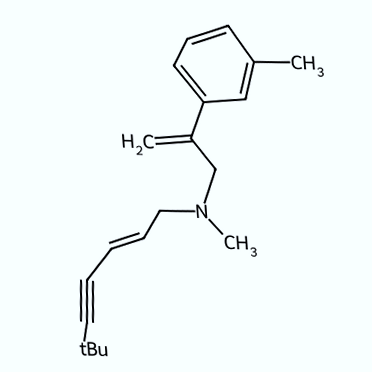 C=C(CN(C)CC=CC#CC(C)(C)C)c1cccc(C)c1